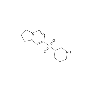 O=S(=O)(c1ccc2c(c1)CCC2)C1CCCNC1